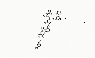 Cc1c(COc2cc(OCc3cncc(S(C)(=O)=O)c3)c(CN3CCCC[C@H]3C(=O)O)cc2Cl)cccc1-c1ccc2c(c1)OC(CCN1CCC(O)C1)CO2